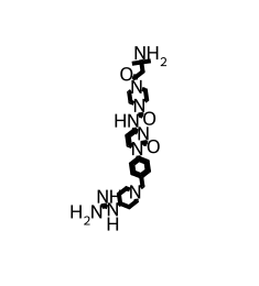 CC(C)(N)CC(=O)N1CCN(C(=O)Nc2ccn(-c3ccc(CN4CCC(NC(=N)N)CC4)cc3)c(=O)n2)CC1